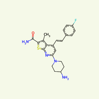 Cc1c(C(N)=O)sc2nc(N3CCC(N)CC3)cc(/C=C/c3ccc(F)cc3)c12